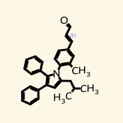 Cc1cc(/C=C/C=O)ccc1-n1c(CC(C)C)cc(-c2ccccc2)c1-c1ccccc1